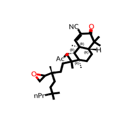 CCCC(C)(C)CC[C@@](C)(CCC(C)(C)[C@]1(C)CC[C@H]2C(C)(C)C(=O)C(C#N)=C[C@]2(C)[C@H]1CC(C)=O)C1CO1